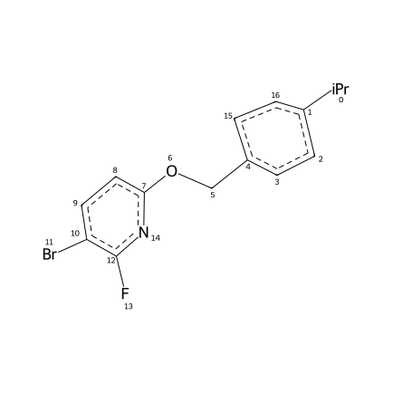 CC(C)c1ccc(COc2ccc(Br)c(F)n2)cc1